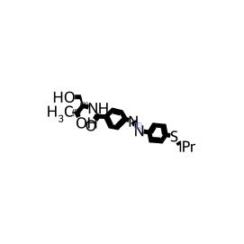 CC(C)Sc1ccc(/N=N/c2ccc(C(=O)N[C@H](CO)[C@@H](C)O)cc2)cc1